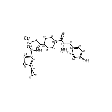 CCOCC(NC(=O)c1cc(C2CC2)on1)C1CCN(C(=O)[C@@H](N)Cc2ccc(O)cc2)CC1